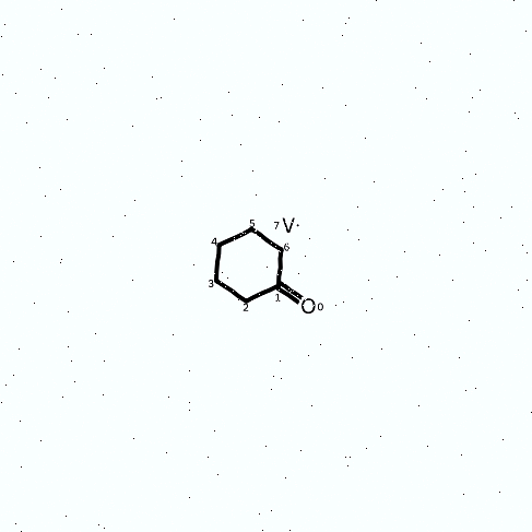 O=C1CCCCC1.[V]